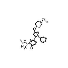 CC(C)n1nc(-c2cc(OC3CCN(C)CC3)nn2-c2ccccc2)ccc1=O